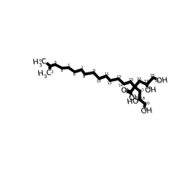 CC(C)CCCCCCCCCCCCCC(CC(O)CO)(CC(O)CO)C(=O)O